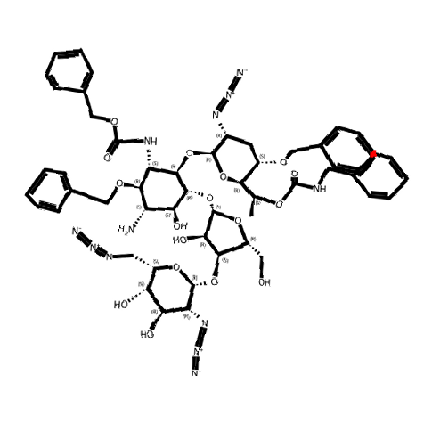 C[C@H](OC(=O)NCc1ccccc1)[C@H]1O[C@@H](O[C@@H]2[C@@H](NC(=O)OCc3ccccc3)[C@H](OCc3ccccc3)[C@@H](N)[C@H](O)[C@H]2O[C@@H]2O[C@H](CO)[C@@H](O[C@H]3O[C@@H](CN=[N+]=[N-])[C@@H](O)[C@H](O)[C@H]3N=[N+]=[N-])[C@H]2O)[C@H](N=[N+]=[N-])C[C@@H]1OCc1ccccc1